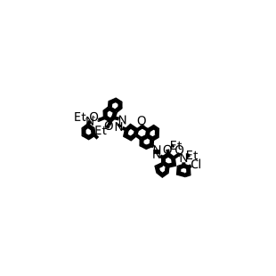 CCOc1c(CON(CC)c2cccc(C)c2)cc2ccccc2c1N=Nc1ccc2c(c1)C(=O)c1cccc3c(N=Nc4c(OCC)c(C(=O)N(CC)c5ccccc5Cl)cc5ccccc45)ccc-2c13